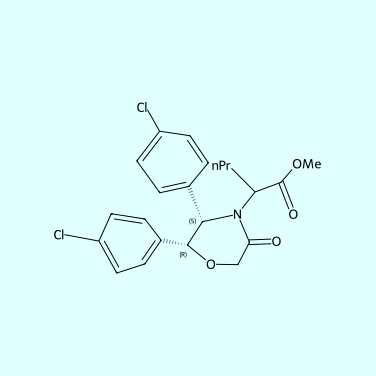 CCCC(C(=O)OC)N1C(=O)CO[C@H](c2ccc(Cl)cc2)[C@@H]1c1ccc(Cl)cc1